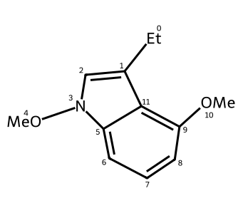 CCc1cn(OC)c2cccc(OC)c12